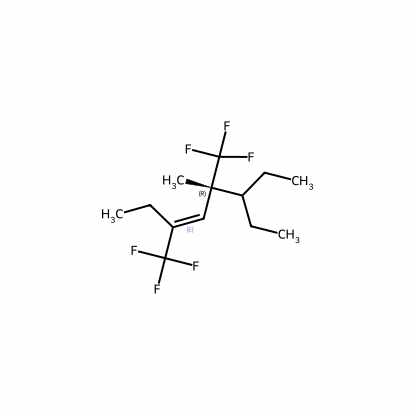 CC/C(=C\[C@@](C)(C(CC)CC)C(F)(F)F)C(F)(F)F